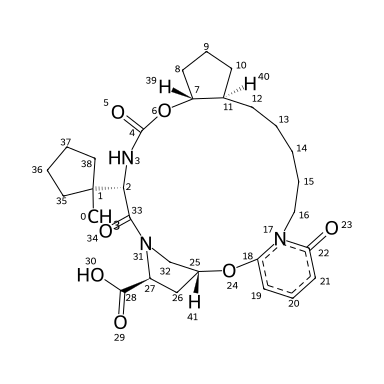 CC1([C@@H]2NC(=O)O[C@@H]3CCC[C@H]3CCCCCn3c(cccc3=O)O[C@@H]3C[C@@H](C(=O)O)N(C3)C2=O)CCCC1